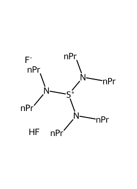 CCCN(CCC)[S+](N(CCC)CCC)N(CCC)CCC.F.[F-]